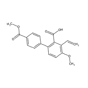 C=Cc1c(OC)ccc(-c2ccc(C(=O)OC)cc2)c1C(=O)O